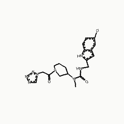 CN(C(=O)NCc1cc2cc(Cl)ccc2[nH]1)C1CCCN(C(=O)Cn2cnnn2)C1